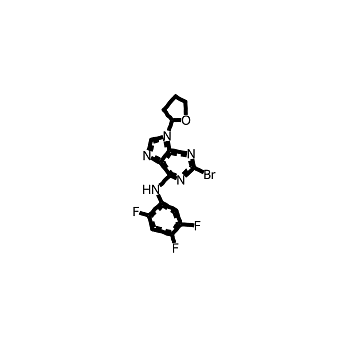 Fc1cc(F)c(Nc2nc(Br)nc3c2ncn3C2CCCO2)cc1F